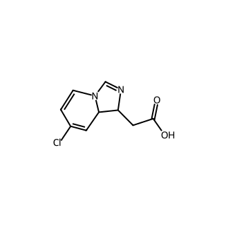 O=C(O)CC1N=CN2C=CC(Cl)=CC12